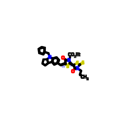 C=CCN1C(=O)/C(=c2\s/c(=C/c3ccc4c(c3)C3CCCC3N4Cc3ccccc3)c(=O)n2CC(=O)OCC)SC1=S